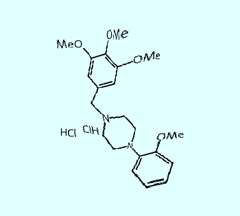 COc1ccccc1N1CCN(Cc2cc(OC)c(OC)c(OC)c2)CC1.Cl.Cl